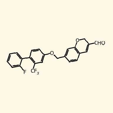 O=CC1=Cc2ccc(COc3ccc(-c4ccccc4F)c(C(F)(F)F)c3)cc2OC1